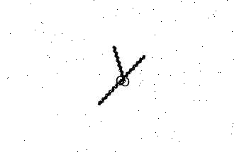 CCCCCCCCCCCCCOC(=O)C(CCCCCCCCCCCC)CCCCCCCCCCCCC